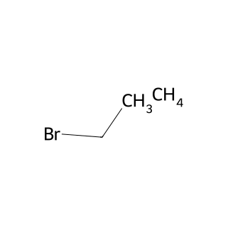 C.CCBr